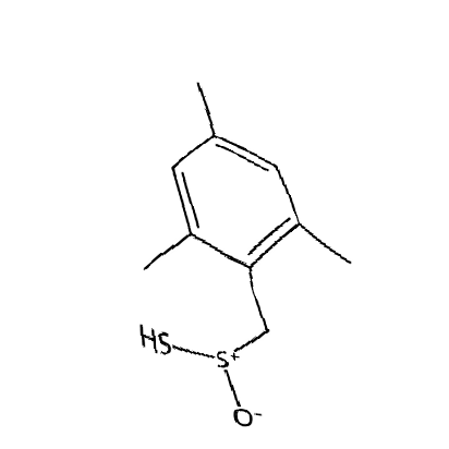 Cc1cc(C)c(C[S+]([O-])S)c(C)c1